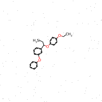 CCOc1ccc(OC(C[SiH3])c2cccc(Oc3ccccc3)c2)cc1